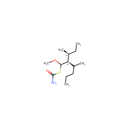 CCCC(C)[C@@H](C(OC)SC(N)=O)[C@@H](C)CC